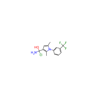 Cc1cc(C(N)(O)Cl)c(C)n1-c1cccc(C(F)(F)F)c1